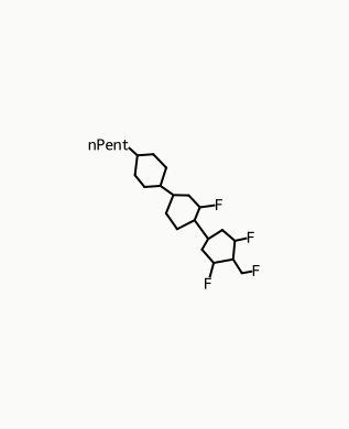 CCCCCC1CCC(C2CCC(C3CC(F)C(CF)C(F)C3)C(F)C2)CC1